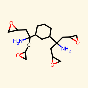 NC(CC1CO1)(CC1CO1)C1CCCC(C(N)(CC2CO2)CC2CO2)C1